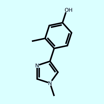 Cc1cc(O)ccc1-c1cn(C)cn1